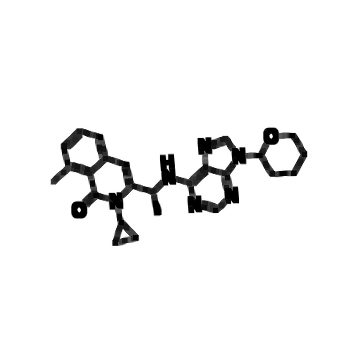 Cc1cccc2cc([C@H](C)Nc3ncnc4c3ncn4C3CCCCO3)n(C3CC3)c(=O)c12